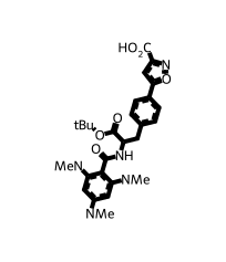 CNc1cc(NC)c(C(=O)NC(Cc2ccc(-c3cc(C(=O)O)no3)cc2)C(=O)OC(C)(C)C)c(NC)c1